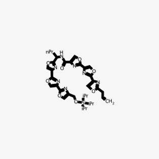 C=CCc1nc(-c2nc(-c3nc(C(=O)NC(CCC)c4nc(-c5nc(-c6nc(CO[Si](C(C)C)(C(C)C)C(C)C)co6)co5)co4)co3)co2)co1